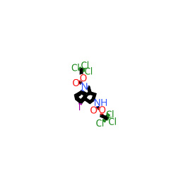 O=C(NC1Cc2c(I)ccc3c2C(C1)CN3C(=O)OCC(Cl)(Cl)Cl)OCC(Cl)(Cl)Cl